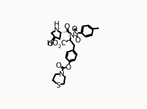 Cc1ccc(S(=O)(=O)N(C(=O)[C@@H]2CC(=O)CN2)[C@@H](Cc2ccc(OC(=O)N3CCSCC3)cc2)C(=O)O)cc1